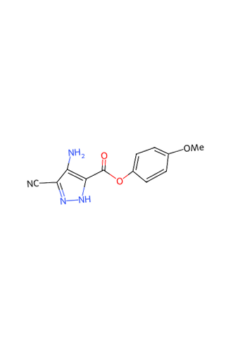 COc1ccc(OC(=O)c2[nH]nc(C#N)c2N)cc1